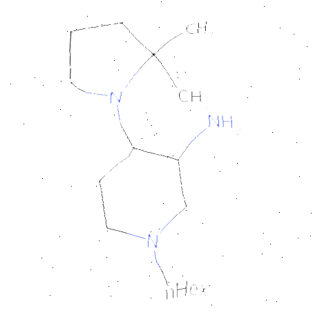 CCCCCCN1CCC(N2CCCC2(C)C)C(N)C1